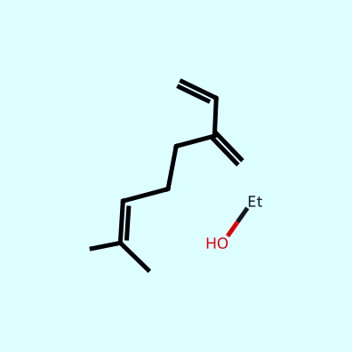 C=CC(=C)CCC=C(C)C.CCO